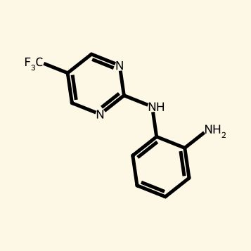 Nc1ccccc1Nc1ncc(C(F)(F)F)cn1